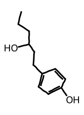 CCCC(O)CCc1ccc(O)cc1